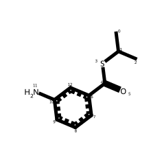 CC(C)SC(=O)c1cccc(N)c1